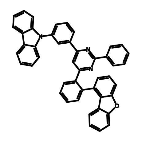 c1ccc(-c2nc(-c3cccc(-n4c5ccccc5c5ccccc54)c3)cc(-c3ccccc3-c3cccc4oc5ccccc5c34)n2)cc1